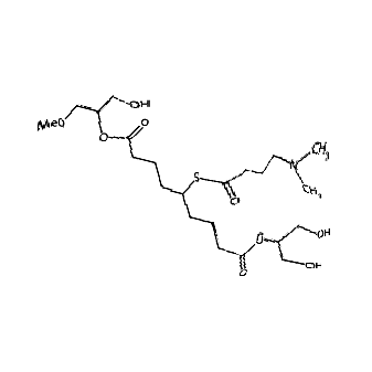 COCC(CO)OC(=O)CCCC(CCCC(=O)OC(CO)CO)SC(=O)CCCN(C)C